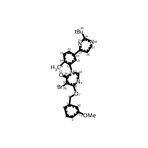 COc1cccc(COc2ncn(-c3cc(-c4ccnc(C(C)(C)C)n4)ccc3C)c(=O)c2Br)c1